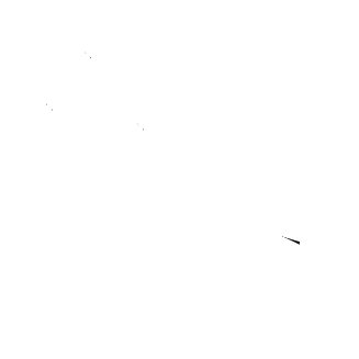 CCC[C@H]1CC[C@H](C2CCN(c3cnc(Cl)nc3)CC2)CC1